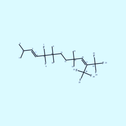 CC(C)/C=C/C(F)(F)C(C)(C)CCC(C)(C)C=C(C(F)(F)F)C(F)(F)F